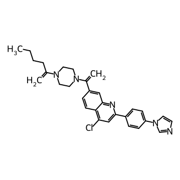 C=C(CCCC)N1CCN(C(=C)c2ccc3c(Cl)cc(-c4ccc(-n5ccnc5)cc4)nc3c2)CC1